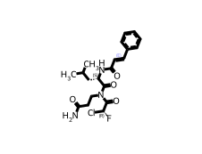 CC(C)C[C@H](NC(=O)/C=C/c1ccccc1)C(=O)N(CCC(N)=O)C(=O)[C@H](F)Cl